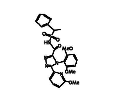 COc1cccc(-c2nnc(C(=O)NS(=O)(=O)C(C)c3ccccc3)n2-c2c(OC)cccc2OC)n1